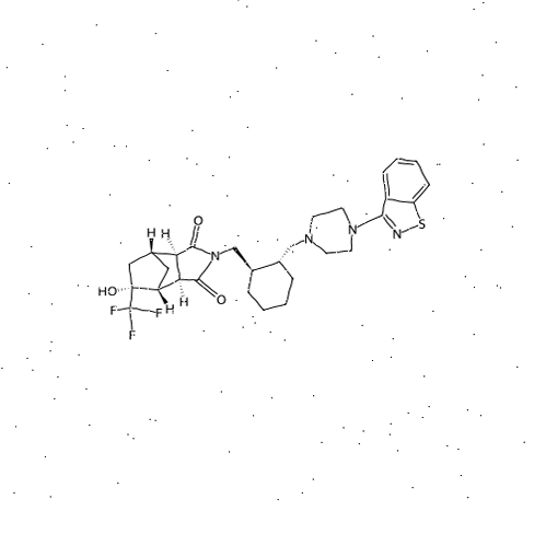 O=C1[C@@H]2[C@@H]3C[C@H]([C@@H]2C(=O)N1C[C@@H]1CCCC[C@H]1CN1CCN(c2nsc4ccccc24)CC1)[C@@](O)(C(F)(F)F)C3